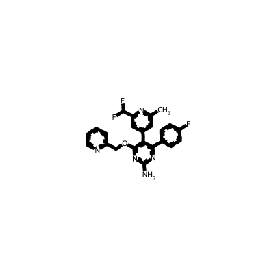 Cc1cc(-c2c(OCc3ccccn3)nc(N)nc2-c2ccc(F)cc2)cc(C(F)F)n1